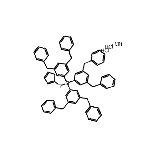 C1=CC[C]([Ti][Si](c2cc(Cc3ccccc3)cc(Cc3ccccc3)c2)(c2cc(Cc3ccccc3)cc(Cc3ccccc3)c2)c2cc(Cc3ccccc3)cc(Cc3ccccc3)c2)=C1.Cl.Cl.Cl